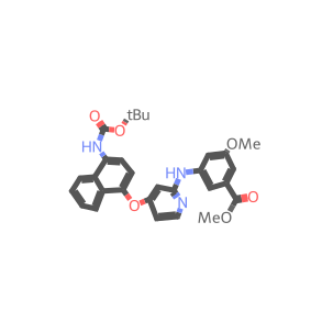 COC(=O)c1cc(Nc2cc(Oc3ccc(NC(=O)OC(C)(C)C)c4ccccc34)ccn2)cc(OC)c1